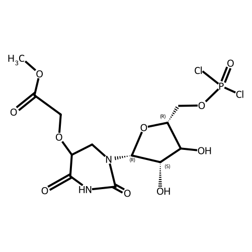 COC(=O)COC1CN([C@@H]2O[C@H](COP(=O)(Cl)Cl)C(O)[C@@H]2O)C(=O)NC1=O